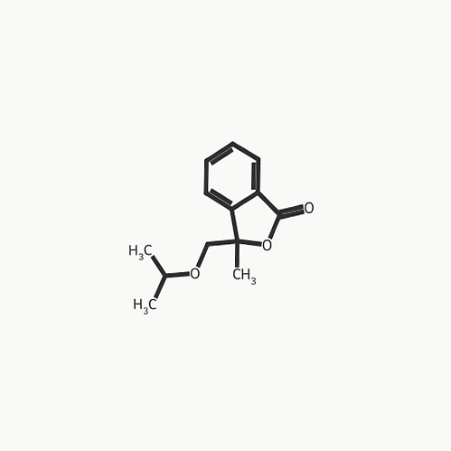 CC(C)OCC1(C)OC(=O)c2ccccc21